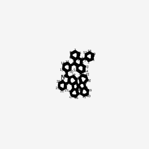 c1ccc(-c2c3ccccc3c(-c3cccc(-c4nc5ccccc5c5c6c(ccc45)C4(c5ccccc5-c5ccccc54)c4ccccc4-6)c3)c3ccccc23)cc1